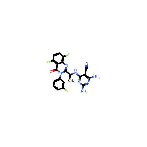 CC(Nc1nc(N)nc(N)c1C#N)c1nc2c(F)ccc(F)c2c(=O)n1-c1cccc(F)c1